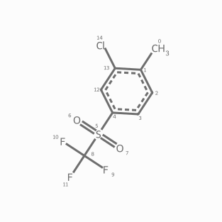 Cc1ccc(S(=O)(=O)C(F)(F)F)cc1Cl